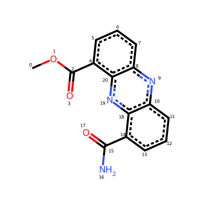 COC(=O)c1cccc2nc3cccc(C(N)=O)c3nc12